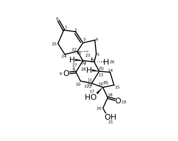 C=C1C=C2CC[C@@H]3[C@H](C(=O)C[C@@]4(C)[C@H]3CC[C@]4(O)C(=O)CO)[C@@]2(C)CC1